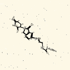 CCCCOC(=O)NCCNc1ccc2c(c1)C(=O)N(C1CCC(=O)NC1=O)C2